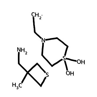 CC1(CN)CSC1.[CH2]CN1CCS(O)(O)CC1